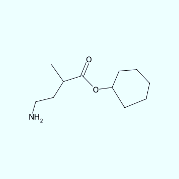 CC(CCN)C(=O)OC1CCCCC1